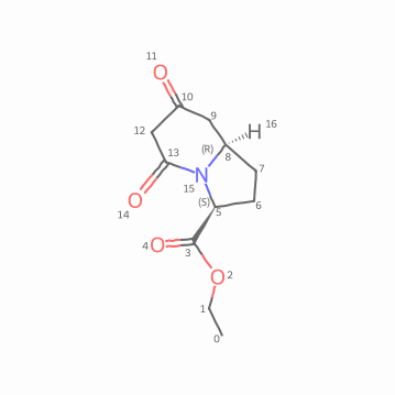 CCOC(=O)[C@@H]1CC[C@@H]2CC(=O)CC(=O)N21